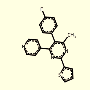 Cc1nc(-c2cccs2)nc(-c2ccncc2)c1-c1ccc(F)cc1